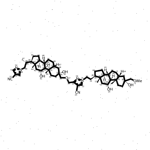 COC[C@@]1(O)CC[C@@]2(C)[C@H](CC[C@@H]3[C@@H]2[C@H](O)C[C@]2(C)[C@@H](CCn4cc(C#N)c(COC[C@@]5(O)CC[C@@]6(C)[C@H](CC[C@@H]7[C@@H]6[C@H](O)C[C@]6(C)[C@@H]([C@@H](C)Cn8cc(C#N)cn8)CC[C@@H]76)C5)n4)CC[C@@H]32)C1